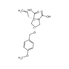 C=CC[C@@]1(C(=O)O)C[C@@H](OCc2ccc(OC)cc2)CN1C(=O)O